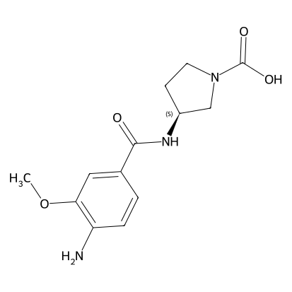 COc1cc(C(=O)N[C@H]2CCN(C(=O)O)C2)ccc1N